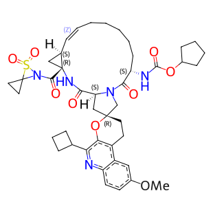 COc1ccc2nc(C3CCC3)c3c(c2c1)CC[C@]1(C[C@H]2C(=O)N[C@]4(C(=O)N5C6(CC6)S5(=O)=O)C[C@H]4/C=C\CCCCC[C@H](NC(=O)OC4CCCC4)C(=O)N2C1)O3